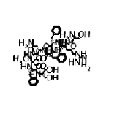 C[C@H](NC(=O)[C@H](CC(N)=O)NC(=O)[C@H](Cc1ccccc1)NC(=O)[C@H](Cc1ccccc1)NC(=O)[C@H](CCCNC(=N)N)NC(=O)[C@@H](N)CO)C(=O)N[C@@H](Cc1ccccc1)C(=O)N[C@@H](CO)C(=O)O